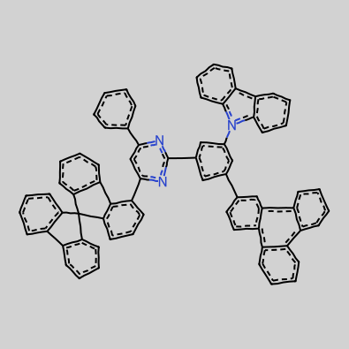 c1ccc(-c2cc(-c3cccc4c3-c3ccccc3C43c4ccccc4-c4ccccc43)nc(-c3cc(-c4ccc5c6ccccc6c6ccccc6c5c4)cc(-n4c5ccccc5c5ccccc54)c3)n2)cc1